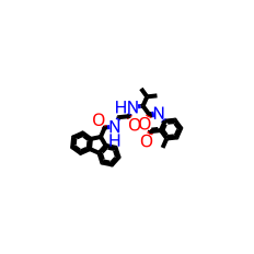 Cc1cccc2nc(C(NC(=O)CNC(=O)C3c4ccccc4-c4ccccc43)C(C)C)oc(=O)c12